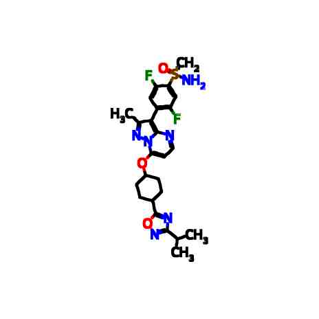 C=S(N)(=O)c1cc(F)c(-c2c(C)nn3c(OC4CCC(c5nc(C(C)C)no5)CC4)ccnc23)cc1F